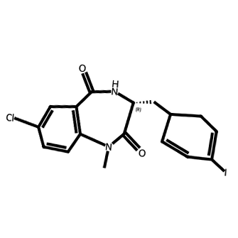 CN1C(=O)[C@@H](CC2C=CC(I)=CC2)NC(=O)c2cc(Cl)ccc21